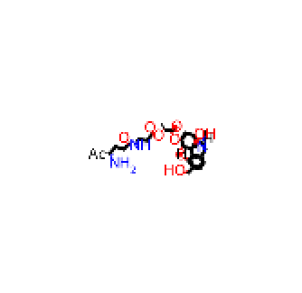 CC(=O)[C@@H](N)CCC(=O)NCCC(=O)O[C@@H](C)C(=O)OC1=CC[C@@]2(O)[C@H]3Cc4ccc(CO)c5c4[C@@]2(CCN3C)[C@H]1O5